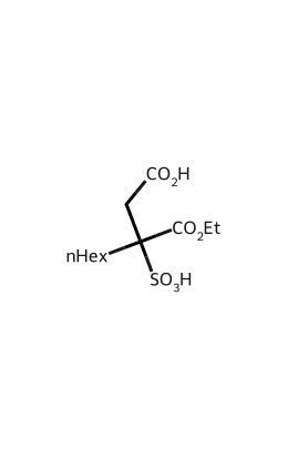 CCCCCCC(CC(=O)O)(C(=O)OCC)S(=O)(=O)O